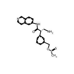 CS(=S)OCc1cccc([C@@H](CN)C(=O)Nc2ccc3cnccc3c2)c1